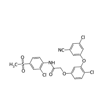 CS(=O)(=O)c1ccc(NC(=O)COc2ccc(Cl)c(Oc3cc(Cl)cc(C#N)c3)c2)c(Cl)c1